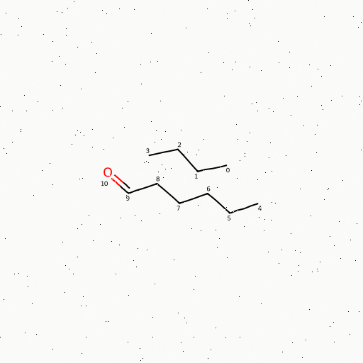 CCCC.CCCCCC=O